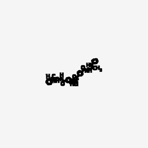 CC(CCNC(=O)c1ccc(-c2ccc(-c3ccc(C(=O)NCCC(C)Nc4ccccc4)cc3)o2)cc1)Nc1ccccc1.Cl.Cl